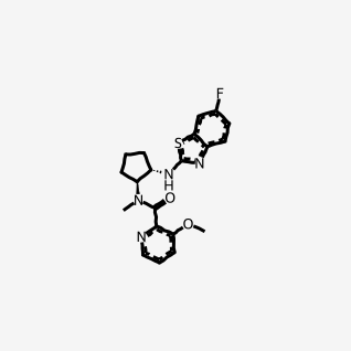 COc1cccnc1C(=O)N(C)[C@H]1CCC[C@@H]1Nc1nc2ccc(F)cc2s1